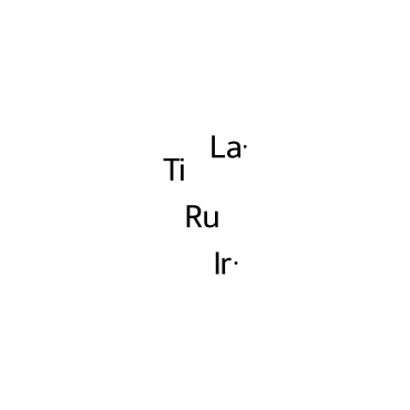 [Ir].[La].[Ru].[Ti]